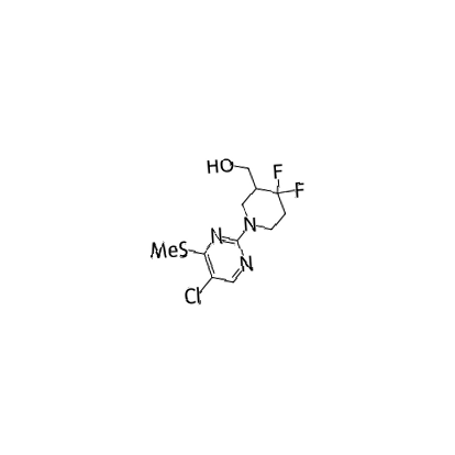 CSc1nc(N2CCC(F)(F)C(CO)C2)ncc1Cl